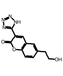 O=c1oc2ccc(CCO)cc2cc1-c1nnn[nH]1